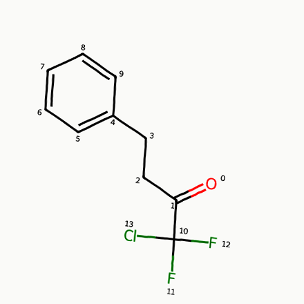 O=C(CCc1ccccc1)C(F)(F)Cl